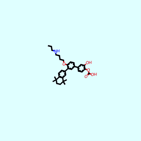 CCCNCCCCOc1ccc(-c2ccc(OC(=O)O)c(O)c2)cc1-c1ccc2c(c1)C(C)(C)CCC2(C)C